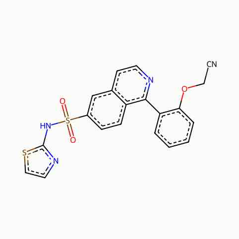 N#CCOc1ccccc1-c1nccc2cc(S(=O)(=O)Nc3nccs3)ccc12